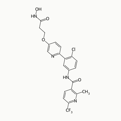 Cc1nc(C(F)(F)F)ccc1C(=O)Nc1ccc(Cl)c(-c2ccc(OCCC(=O)NO)cn2)c1